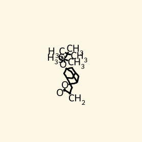 C=C1CC2(OC1=O)C1CC3CC2CC(O[Si](C)(C)C(C)(C)C)(C3)C1